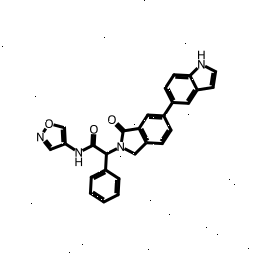 O=C(Nc1cnoc1)C(c1ccccc1)N1Cc2ccc(-c3ccc4[nH]ccc4c3)cc2C1=O